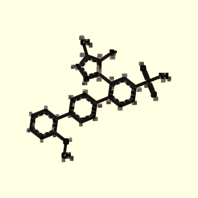 COc1ccccc1-c1ccc(-c2ccc(S(N)(=O)=O)cc2-c2onc(C)c2Br)cc1